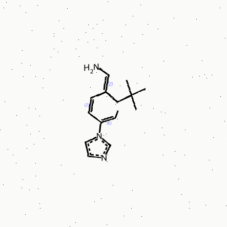 C\C=C(/C=C\C(=C/N)CC(C)(C)C)n1ccnc1